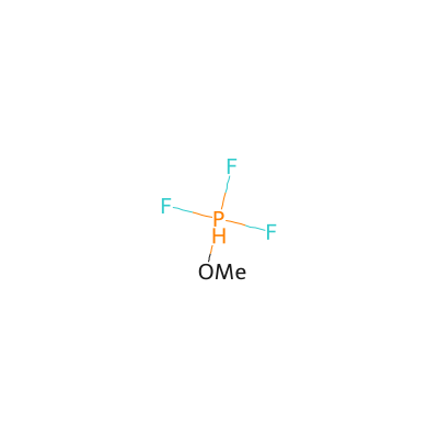 CO[PH](F)(F)F